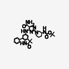 CC(C)(C)OC(=O)N[C@H]1CCCN(c2ncc(C(N)=O)c(Nc3cc(-c4ccccc4)c4c(c3)C(C)(C)C(=O)N4)n2)C1